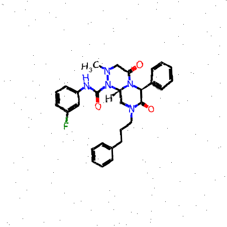 CN1CC(=O)N2[C@@H](c3ccccc3)C(=O)N(CCCc3ccccc3)C[C@@H]2N1C(=O)Nc1cccc(F)c1